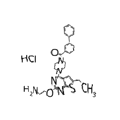 CCc1cc2c(N3CCN(C(=O)c4cccc(-c5ccccc5)c4)CC3)nc(OCCN)nc2s1.Cl